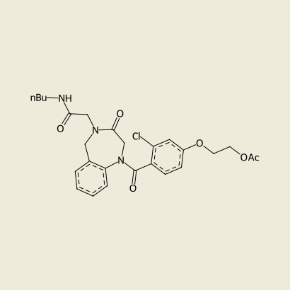 CCCCNC(=O)CN1Cc2ccccc2N(C(=O)c2ccc(OCCOC(C)=O)cc2Cl)CC1=O